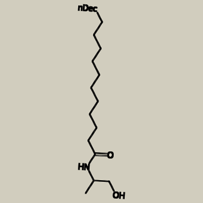 CCCCCCCCCCCCCCCCCCCCC(=O)NC(C)CO